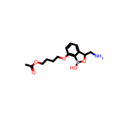 CC(=O)OCCCCOc1cccc2c1B(O)OC2CN